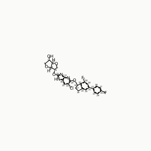 O[C@@H]1CO[C@H]2[C@@H]1OC[C@H]2Oc1nc2nc(OC3CCc4cc(-c5ccc(F)cc5)cc(F)c43)c(Cl)cc2[nH]1